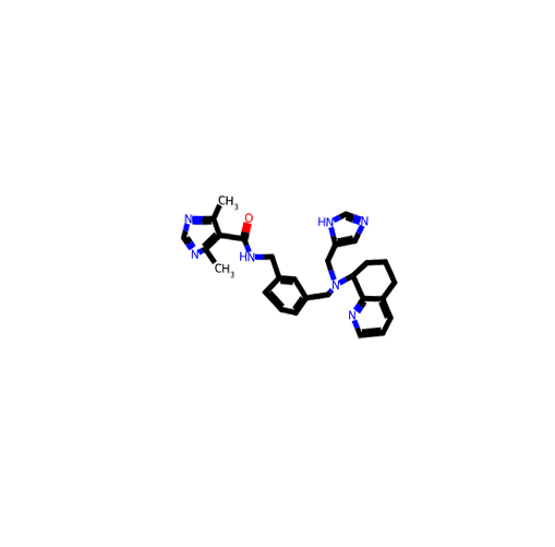 Cc1ncnc(C)c1C(=O)NCc1cccc(CN(Cc2cnc[nH]2)C2CCCc3cccnc32)c1